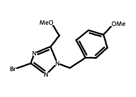 COCc1nc(Br)nn1Cc1ccc(OC)cc1